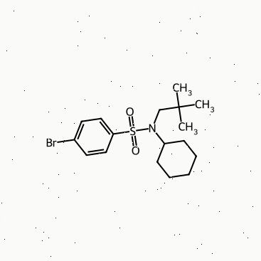 CC(C)(C)CN(C1CCCCC1)S(=O)(=O)c1ccc(Br)cc1